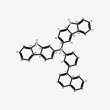 c1cc(-c2cccc3ccccc23)cc(N(c2ccc3c(c2)oc2ccccc23)c2ccc3sc4ccccc4c3c2)c1